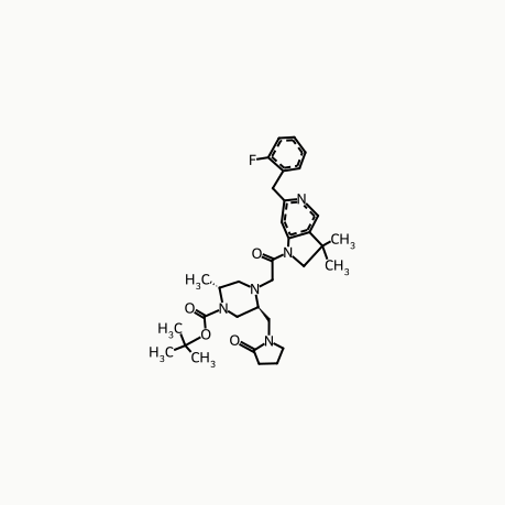 C[C@@H]1CN(CC(=O)N2CC(C)(C)c3cnc(Cc4ccccc4F)cc32)[C@@H](CN2CCCC2=O)CN1C(=O)OC(C)(C)C